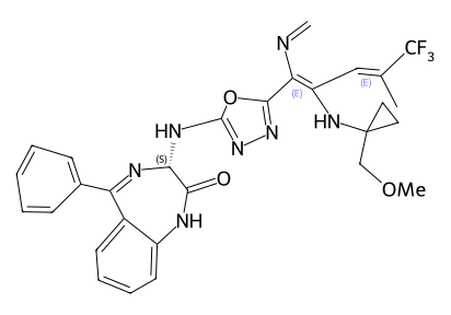 C=N/C(=C(\C=C(/C)C(F)(F)F)NC1(COC)CC1)c1nnc(N[C@H]2N=C(c3ccccc3)c3ccccc3NC2=O)o1